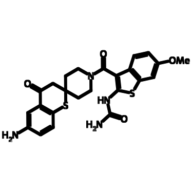 COc1ccc2c(C(=O)N3CCC4(CC3)CC(=O)c3cc(N)ccc3S4)c(NC(N)=O)sc2c1